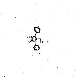 CCOC(=O)Cc1c(-c2ccccc2)[nH]c(=S)n1-c1ccccc1